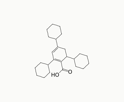 O=C(O)C1=C(C2CCCCC2)C=C(C2CCCCC2)CC1C1CCCCC1